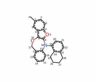 Cc1ccc2oc3c(c2c1)OCc1ccccc1N3c1cccc2c1CCCC2